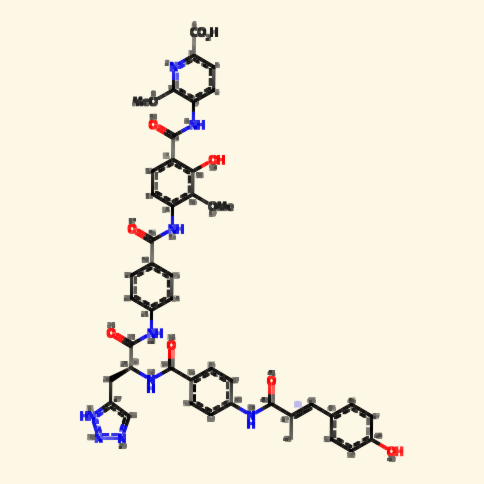 COc1nc(C(=O)O)ccc1NC(=O)c1ccc(NC(=O)c2ccc(NC(=O)[C@H](Cc3cnn[nH]3)NC(=O)c3ccc(NC(=O)/C(C)=C/c4ccc(O)cc4)cc3)cc2)c(OC)c1O